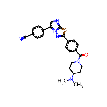 CN(C)C1CCN(C(=O)c2ccc(-c3nn4c(-c5ccc(C#N)cc5)cnc4s3)cc2)CC1